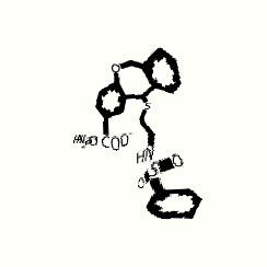 O.O=C([O-])c1ccc2c(c1)C(SCCNS(=O)(=O)c1ccccc1)c1ccccc1CO2.[Na+]